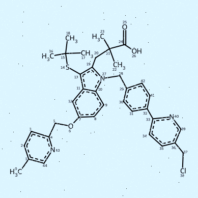 Cc1ccc(COc2ccc3c(c2)c(SC(C)(C)C)c(CC(C)(C)C(=O)O)n3Cc2ccc(-c3ccc(CCl)cn3)cc2)nc1